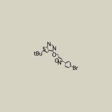 CC(C)(C)c1cc2c(OCc3cc(-c4ccc(Br)cc4)no3)ncnc2s1